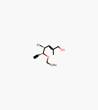 C#C[C@H](OCOC)[C@H](/C=C(\C)CO)CC